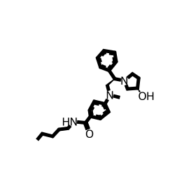 CCCCCNC(=O)c1ccc(N(C)C[C@@H](c2ccccc2)N2CC[C@H](O)C2)cc1